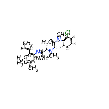 C=C(CN(C)C/C(=N/C(C=C(C)C)=C(C)\C=C\C)NC)N(C)C1=C(Cl)C=CCC1